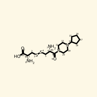 N[C@@H](CSSC[C@H](N)C(=O)N1CCN(C2CCCC2)CC1)C(=O)O